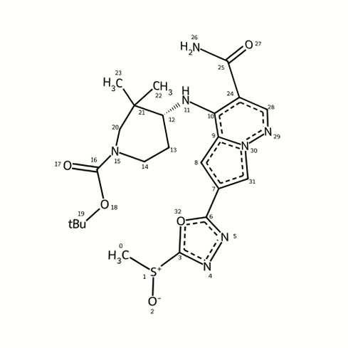 C[S+]([O-])c1nnc(-c2cc3c(N[C@@H]4CCN(C(=O)OC(C)(C)C)CC4(C)C)c(C(N)=O)cnn3c2)o1